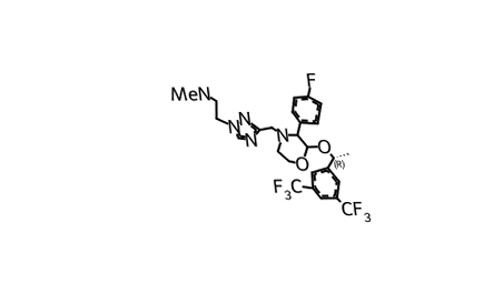 CNCCn1cnc(CN2CCOC(O[C@H](C)c3cc(C(F)(F)F)cc(C(F)(F)F)c3)C2c2ccc(F)cc2)n1